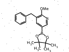 COc1ncc(B2OC(C)(C)C(C)(C)O2)cc1Cc1ccccc1